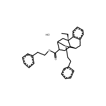 CC[C@]12CC3C(C(=O)OCCc4ccccc4)CC1C(Cc1ccccc12)N3CCc1ccccc1.Cl